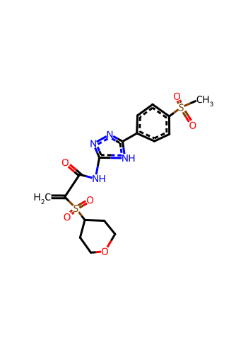 C=C(C(=O)Nc1nnc(-c2ccc(S(C)(=O)=O)cc2)[nH]1)S(=O)(=O)C1CCOCC1